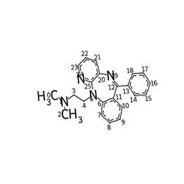 CN(C)CCN1c2ccccc2C(c2ccccc2)=Nc2cccnc21